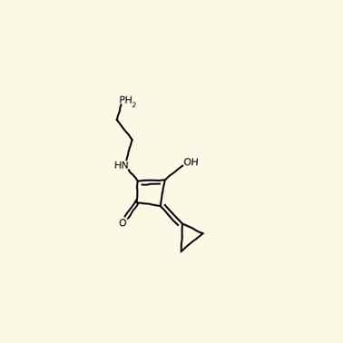 O=C1C(NCCP)=C(O)C1=C1CC1